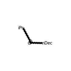 CCCCCCCCCCCCCCCCCCCCCC(=O)OCCCCCCCCCCCCCCC(C)C